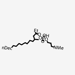 CCCCCCCCCCCCCCCCCCC(COP(=O)(O)OCCCNC)CC(=O)CC